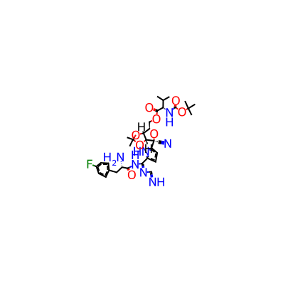 CC(C)[C@H](NC(=O)OC(C)(C)C)C(=O)OC[C@H]1O[C@@](C#N)(c2ccc(/C(=N\C=N)NC(=O)[C@@H](N)Cc3ccc(F)cc3)[nH]2)[C@@H]2OC(C)(C)O[C@@H]21